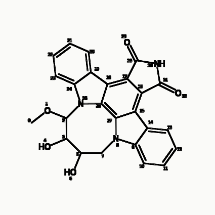 COC1C(O)C(O)Cn2c3ccccc3c3c4c(c5c6ccccc6n1c5c32)C(=O)NC4=O